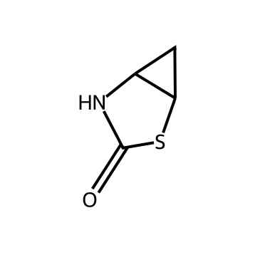 O=C1NC2CC2S1